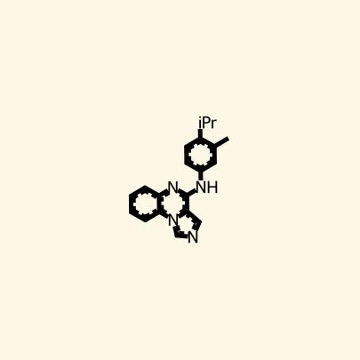 Cc1cc(Nc2nc3ccccc3n3cncc23)ccc1C(C)C